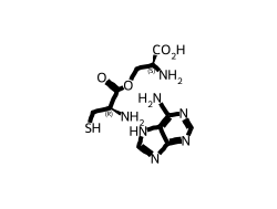 N[C@@H](COC(=O)[C@@H](N)CS)C(=O)O.Nc1ncnc2nc[nH]c12